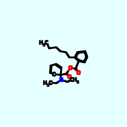 CCCCCCc1ccccc1C(=O)OC(=O)C1(N(CC)CC)C=CC=CC1